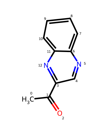 CC(=O)c1cnc2ccccc2n1